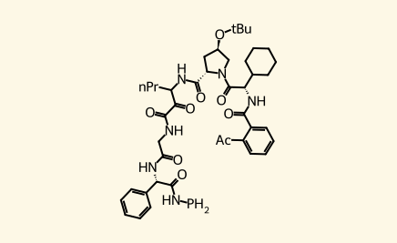 CCCC(NC(=O)[C@@H]1C[C@@H](OC(C)(C)C)CN1C(=O)[C@@H](NC(=O)c1ccccc1C(C)=O)C1CCCCC1)C(=O)C(=O)NCC(=O)N[C@H](C(=O)NP)c1ccccc1